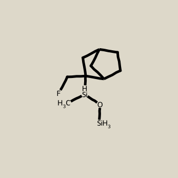 C[SiH](O[SiH3])C1(CF)CC2CCC1C2